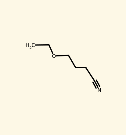 [CH2]COCCCC#N